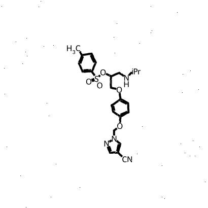 Cc1ccc(S(=O)(=O)OC(CNC(C)C)COc2ccc(OCn3cc(C#N)cn3)cc2)cc1